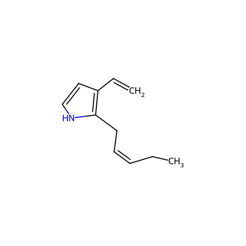 C=Cc1cc[nH]c1C/C=C\CC